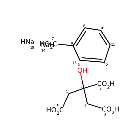 O=C(O)CC(O)(CC(=O)O)C(=O)O.O=C(O)c1ccccc1.[NaH].[NaH]